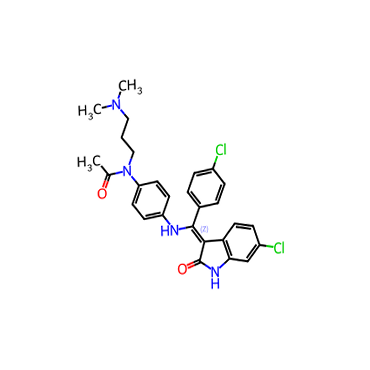 CC(=O)N(CCCN(C)C)c1ccc(N/C(=C2\C(=O)Nc3cc(Cl)ccc32)c2ccc(Cl)cc2)cc1